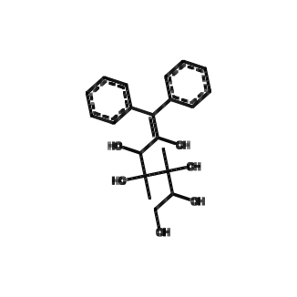 CC(O)(C(O)CO)C(C)(O)C(O)C(O)=C(c1ccccc1)c1ccccc1